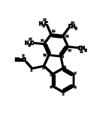 COCC1c2ccccc2-c2c(C)c(C)c(C)c(C)c21